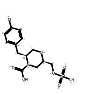 CS(=O)(=O)OC[C@H]1CN(C(=O)O)[C@@H](Cc2ccc(Cl)cc2)CO1